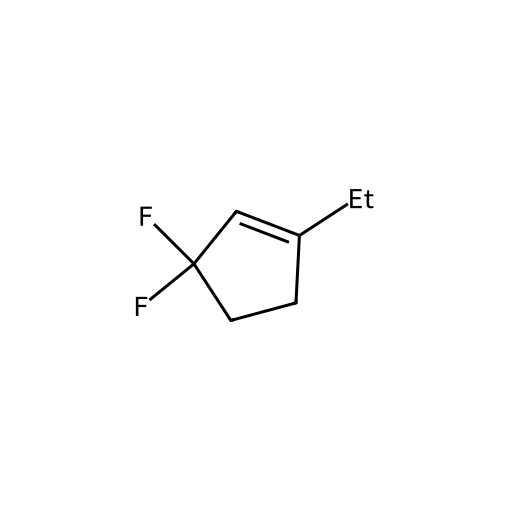 CCC1=CC(F)(F)CC1